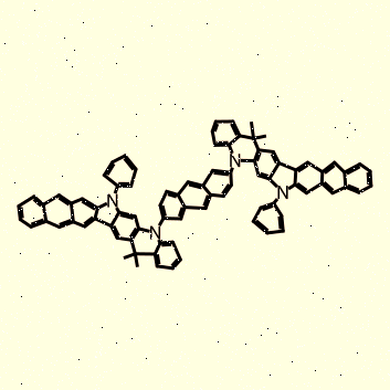 CC1(C)c2ccccc2N(c2ccc3cc4cc(N5c6ccccc6C(C)(C)c6cc7c8cc9cc%10ccccc%10cc9cc8n(-c8ccccc8)c7cc65)ccc4cc3c2)c2cc3c(cc21)c1cc2cc4ccccc4cc2cc1n3-c1ccccc1